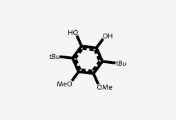 COc1c(OC)c(C(C)(C)C)c(O)c(O)c1C(C)(C)C